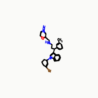 Cc1cccc(C(CCNCC2CNCCO2)c2cn(C3CCCC(Br)C3)c3ccccc23)c1